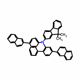 CC1(C)c2ccccc2-c2ccc(N(c3ccc(-c4ccc5ccccc5c4)cc3)c3cc(-c4ccc5ccccc5c4)ccc3-c3ccccc3)cc21